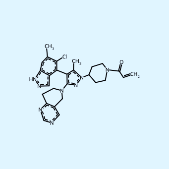 C=CC(=O)N1CCC(n2nc(N3CCc4ncncc4C3)c(-c3c(Cl)c(C)cc4[nH]ncc34)c2C)CC1